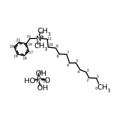 CCCCCCCCCCCC[N+](C)(C)Cc1ccccc1.O=P(O)(O)O